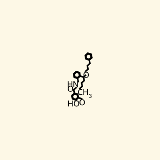 CCCCCC(OCCCCc1ccccc1)c1ccccc1CNCC(=O)c1ccc(O)c(C=O)c1